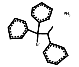 CC(c1ccccc1)C(Br)(c1ccccc1)c1ccccc1.P